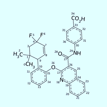 CC1(C)CC(F)(F)C=CC1c1ccccc1Oc1nc2ccccc2cc1C(=O)Nc1ccc(C(=O)O)cc1